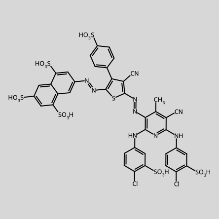 Cc1c(C#N)c(Nc2ccc(Cl)c(S(=O)(=O)O)c2)nc(Nc2ccc(Cl)c(S(=O)(=O)O)c2)c1N=Nc1sc(N=Nc2cc(S(=O)(=O)O)c3cc(S(=O)(=O)O)cc(S(=O)(=O)O)c3c2)c(-c2ccc(S(=O)(=O)O)cc2)c1C#N